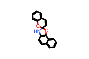 C1=C[C@@]2(Nc3ccc4ccccc4c3O2)Oc2ccccc21